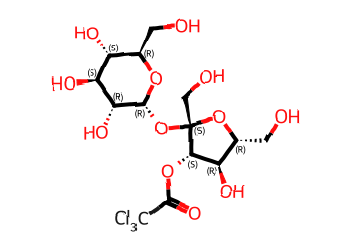 O=C(O[C@H]1[C@H](O)[C@@H](CO)O[C@@]1(CO)O[C@H]1O[C@H](CO)[C@@H](O)[C@H](O)[C@H]1O)C(Cl)(Cl)Cl